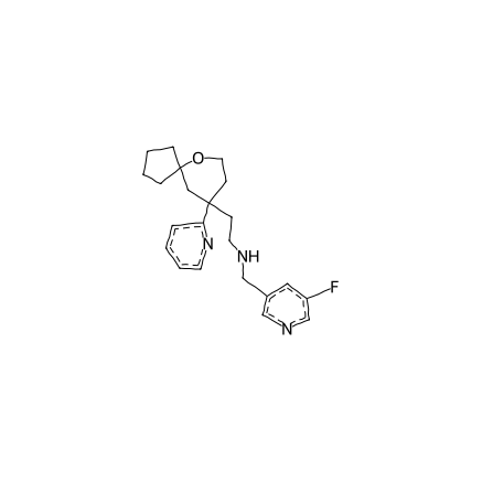 Fc1cncc(CNCCC2(c3ccccn3)CCOC3(CCCC3)C2)c1